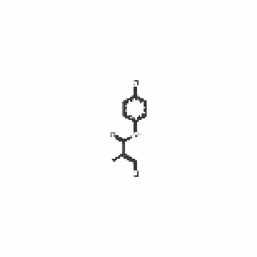 CC(=CCl)C(=O)Nc1ccc(Cl)cc1